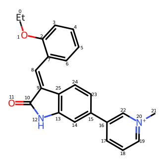 CCOc1ccccc1/C=C1/C(=O)Nc2cc(-c3ccc[n+](C)c3)ccc21